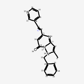 Cc1cc2nc(/C=C/c3cccnc3)cc(=O)n2n1Cc1ccccc1